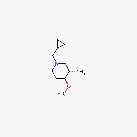 CO[C@H]1CCN(CC2CC2)C[C@@H]1C